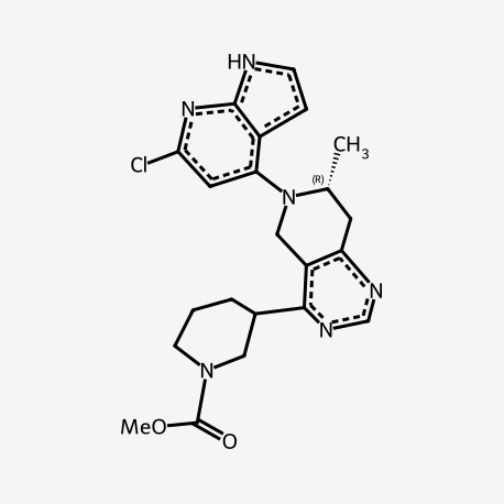 COC(=O)N1CCCC(c2ncnc3c2CN(c2cc(Cl)nc4[nH]ccc24)[C@H](C)C3)C1